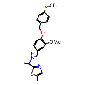 COc1cc(CNC(C)c2ncc(C)s2)ccc1OCc1ccc(SC(F)(F)F)cc1